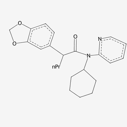 CCCC(C(=O)N(c1ccccn1)C1CCCCC1)c1ccc2c(c1)OCO2